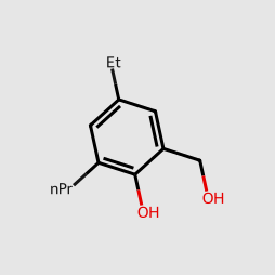 CCCc1cc(CC)cc(CO)c1O